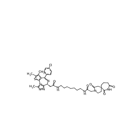 Cc1sc2c(c1C)C(c1ccc(Cl)cc1)=N[C@@H](CC(=O)NCCCCCCCNC(=O)CN1CCC3(CCCC(=O)NC3=O)CC1=O)c1nnc(C)n1-2